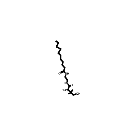 CCCCCCCCCCC(=O)NCCNC(=O)[C@H](O)C(C)(C)CO